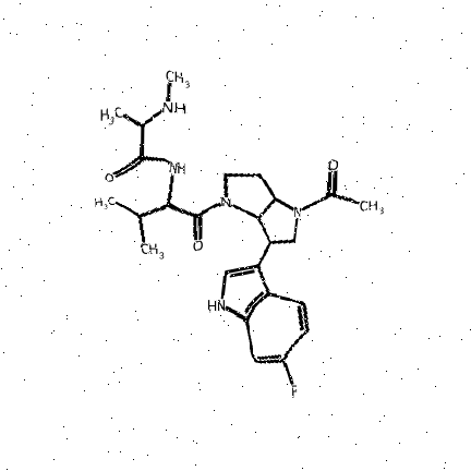 CNC(C)C(=O)NC(C(=O)N1CCC2C1C(c1c[nH]c3cc(F)ccc13)CN2C(C)=O)C(C)C